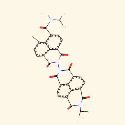 CCCC(CCC)N(C=O)C(=O)c1ccc2c3c(ccc(C)c13)C(=O)N(N1C(=O)c3ccc4c5c(ccc(c35)C1=O)C(=O)N(C(CCC)CCC)C4=O)C2=O